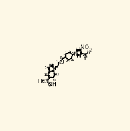 O=[N+]([O-])c1cn(C2CCC(COCCn3ncc4cc(B(O)O)ccc43)CC2)nc1C(F)F